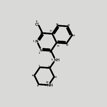 Clc1nnc(NC2CCCNC2)c2ccccc12